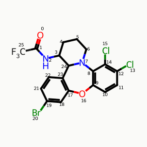 O=C(NC1CCCN2c3c(ccc(Cl)c3Cl)Oc3cc(Br)ccc3C12)C(F)(F)F